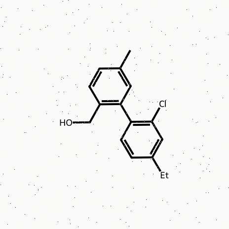 CCc1ccc(-c2cc(C)ccc2CO)c(Cl)c1